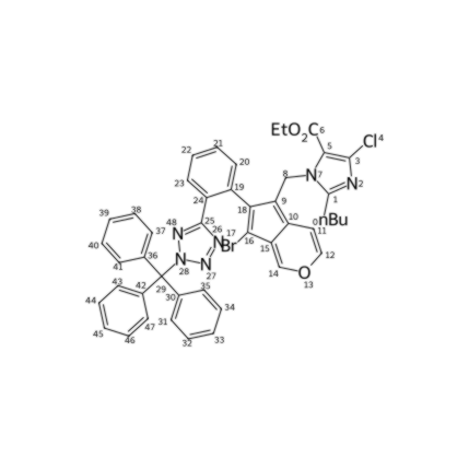 CCCCc1nc(Cl)c(C(=O)OCC)n1Cc1c2ccocc-2c(Br)c1-c1ccccc1-c1nnn(C(c2ccccc2)(c2ccccc2)c2ccccc2)n1